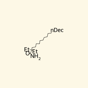 CCCCCCCCCCCCCCCCCCCCC(CC)(CC)C(N)=O